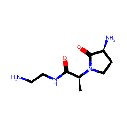 C[C@@H](C(=O)NCCN)N1CC[C@H](N)C1=O